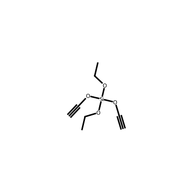 C#CO[Si](OC#C)(OCC)OCC